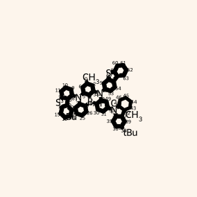 Cc1cc2c3c(c1)N(c1cccc4sc5ccccc5c14)c1cc(C(C)(C)C)ccc1B3c1ccc(N3c4ccc(C(C)(C)C)cc4C4(C)CCCCC34C)cc1N2c1ccc2c(c1)sc1ccccc12